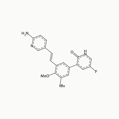 COc1c(C=Cc2ccc(N)nc2)cc(-c2cc(F)c[nH]c2=O)cc1C(C)(C)C